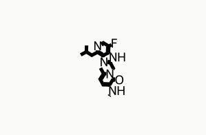 CNc1ccc(C)n(Cc2nc3c(CC(C)C)ncc(F)c3[nH]2)c1=O